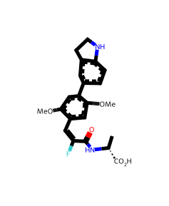 COc1cc(-c2ccc3c(c2)CCN3)c(OC)cc1/C=C(/F)C(=O)N[C@H](C)C(=O)O